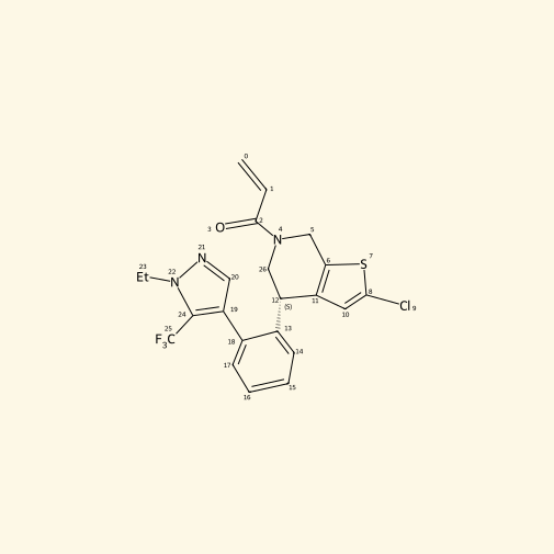 C=CC(=O)N1Cc2sc(Cl)cc2[C@H](c2ccccc2-c2cnn(CC)c2C(F)(F)F)C1